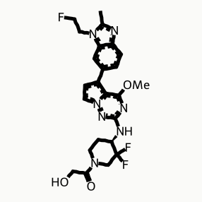 COc1nc(N[C@@H]2CCN(C(=O)CO)CC2(F)F)nn2ccc(-c3ccc4nc(C)n(CCF)c4c3)c12